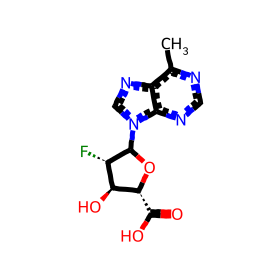 Cc1ncnc2c1ncn2C1O[C@H](C(=O)O)[C@@H](O)[C@@H]1F